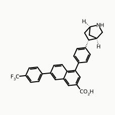 O=C(O)c1cc(-c2ccc([C@@H]3C[C@@H]4C[C@H]3CN4)cc2)c2ccc(-c3ccc(C(F)(F)F)cc3)cc2c1